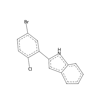 Clc1ccc(Br)cc1-c1cc2ccccc2[nH]1